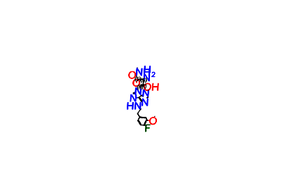 CNC(=O)[C@H]1O[C@@H](n2cnc3c(NCCc4ccc(F)c(OC)c4)ncnc32)[C@H](O)[C@@H]1N